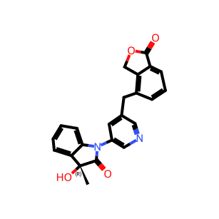 C[C@]1(O)C(=O)N(c2cncc(Cc3cccc4c3COC4=O)c2)c2ccccc21